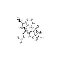 [C-]#[N+]c1c2c(n([C@H](CCC(C)C)c3ccc(C(F)(F)F)cc3)c1C)C(CC(=O)O)CCC2